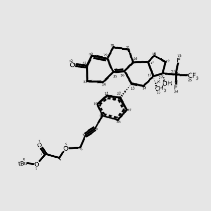 CC(C)(C)OC(=O)COCC#Cc1ccc([C@H]2C[C@@]3(C)C(CC[C@@]3(O)C(F)(F)C(F)(F)F)C3CCC4=CC(=O)CCC4=C32)cc1